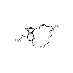 CCCCOP(=O)(O)CC/C=C\Cn1cnc2c(OC)nc(N)nc21